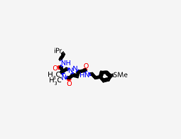 CSc1ccc(CCNC(=O)c2cc3n(n2)CC(C)(C(=O)NCCC(C)C)N(C)C3=O)cc1